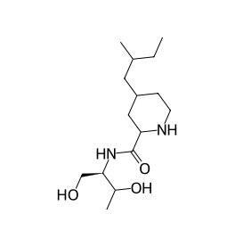 CCC(C)CC1CCNC(C(=O)N[C@H](CO)C(C)O)C1